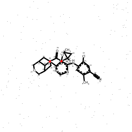 COc1c(Nc2cc(C)c(C#N)cc2Cl)ncnc1OC1C2COCC1CN(C(=O)OC1(C)CC1)C2